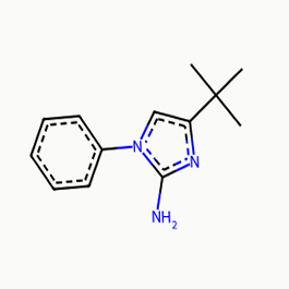 CC(C)(C)c1cn(-c2ccccc2)c(N)n1